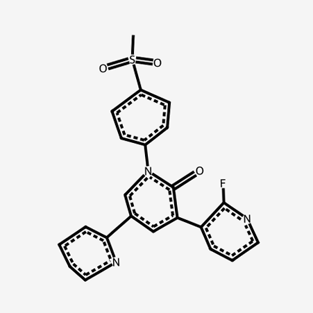 CS(=O)(=O)c1ccc(-n2cc(-c3ccccn3)cc(-c3cccnc3F)c2=O)cc1